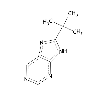 CC(C)(C)c1nc2cncnc2[nH]1